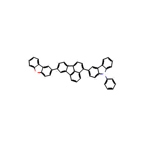 c1ccc(-n2c3ccccc3c3cc(-c4ccc5c6c(cccc46)-c4cc(-c6ccc7oc8ccccc8c7c6)ccc4-5)ccc32)cc1